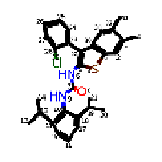 Cc1cc2sc(NC(=O)Nc3c(C(C)C)cccc3C(C)C)c(-c3ccccc3Cl)c2cc1C